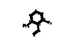 [CH2]C(C)c1cccc(F)c1C=C